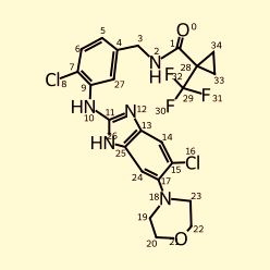 O=C(NCc1ccc(Cl)c(Nc2nc3cc(Cl)c(N4CCOCC4)cc3[nH]2)c1)C1(C(F)(F)F)CC1